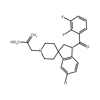 C=C(CN1CCC2(CC1)CN(C(=O)c1cccc(F)c1F)c1ccc(Cl)cc12)C(=O)O